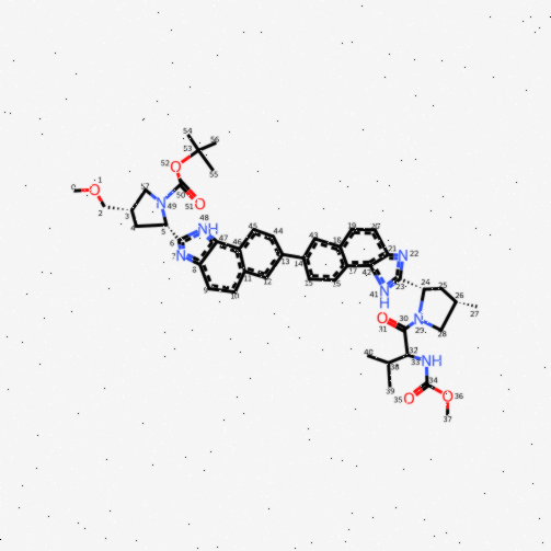 COC[C@H]1C[C@@H](c2nc3ccc4cc(-c5ccc6c(ccc7nc([C@@H]8C[C@H](C)CN8C(=O)C(NC(=O)OC)C(C)C)[nH]c76)c5)ccc4c3[nH]2)N(C(=O)OC(C)(C)C)C1